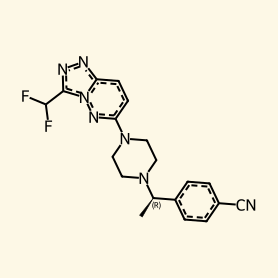 C[C@H](c1ccc(C#N)cc1)N1CCN(c2ccc3nnc(C(F)F)n3n2)CC1